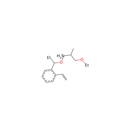 C=Cc1ccccc1C(CC)O[SiH2]C(C)COCC